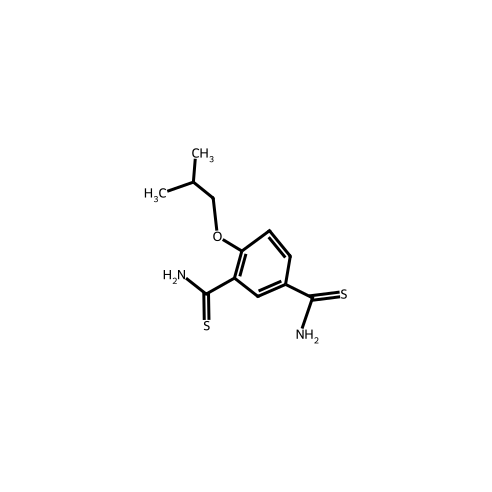 CC(C)COc1ccc(C(N)=S)cc1C(N)=S